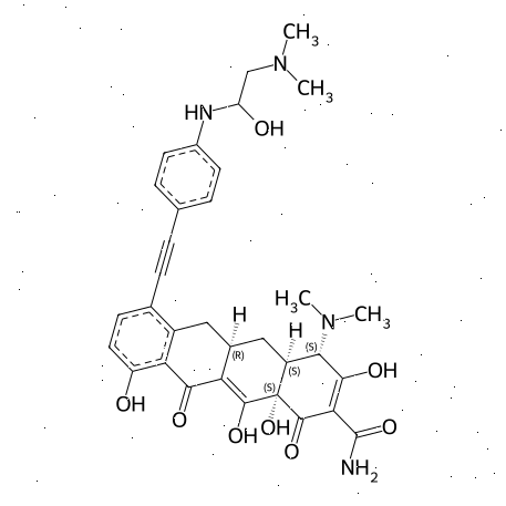 CN(C)CC(O)Nc1ccc(C#Cc2ccc(O)c3c2C[C@H]2C[C@H]4[C@H](N(C)C)C(O)=C(C(N)=O)C(=O)[C@@]4(O)C(O)=C2C3=O)cc1